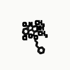 CC1=C(C(=O)OC/C=C/c2ccccc2)C(c2cccc(Cl)c2)C([N+](=O)[O-])=C(C)N1